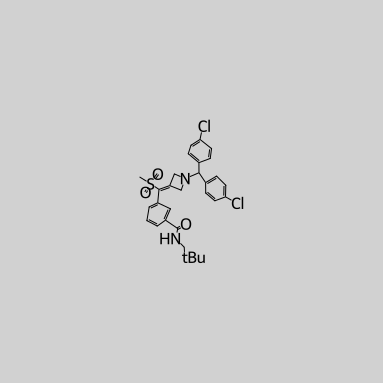 CC(C)(C)CNC(=O)c1cccc(C(=C2CN(C(c3ccc(Cl)cc3)c3ccc(Cl)cc3)C2)S(C)(=O)=O)c1